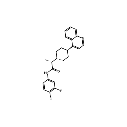 C[C@@H](C(=O)Nc1ccc(Cl)c(F)c1)[C@H]1CC[C@H](c2ccnc3ccccc32)CC1